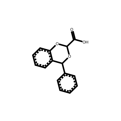 O=C(O)C1Oc2ccccc2C(c2ccccc2)O1